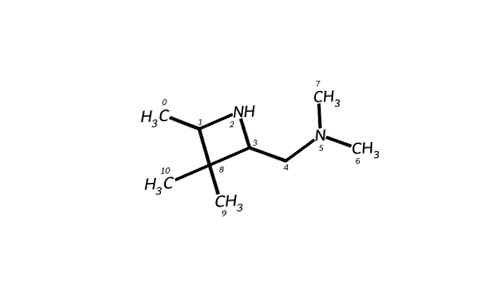 CC1NC(CN(C)C)C1(C)C